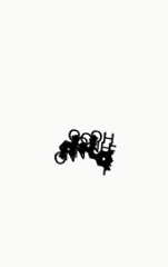 COc1ccc2c(=O)oc(C(Cc3cc(F)cc(F)c3)NC(=O)O)nc2n1